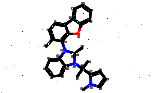 Cc1ccc2c(oc3ccccc32)c1N1c2ccccc2N(C(C)(C)c2cccn2C)[C@@H]1C